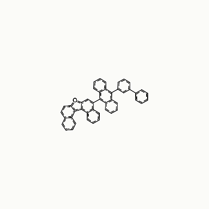 c1ccc(-c2cccc(-c3c4ccccc4c(-c4cc5oc6ccc7ccccc7c6c5c5ccccc45)c4ccccc34)c2)cc1